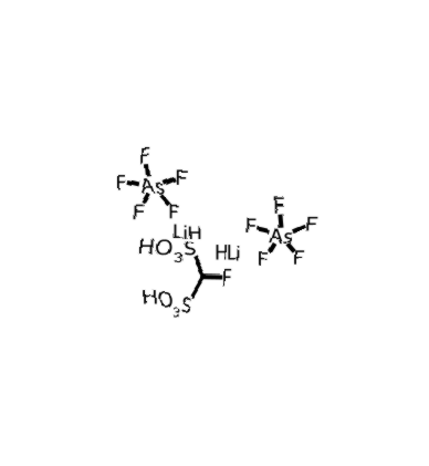 F[As](F)(F)(F)F.F[As](F)(F)(F)F.O=S(=O)(O)C(F)S(=O)(=O)O.[LiH].[LiH]